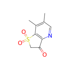 Cc1cnc2c(c1C)S(=O)(=O)CC2=O